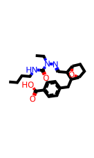 CCCCNC(=O)N(CC)/N=C/C1C2CCC(O2)C1Cc1ccc(C(=O)O)cc1